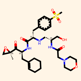 C[C@]1(C(=O)[C@H](CC2=CCCCC2)NC(=O)[C@H](Cc2ccc(S(C)(=O)=O)cc2)NC[C@H](CO)NC(=O)CN2CCOCC2)CO1